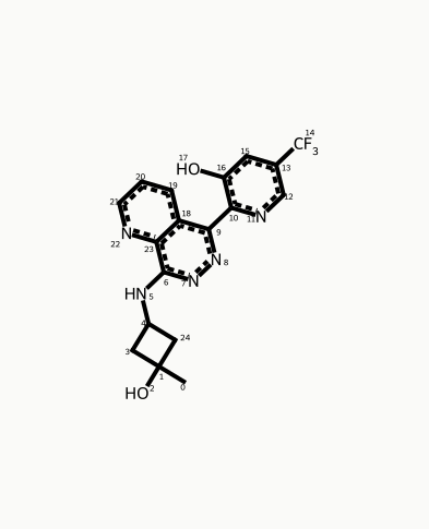 CC1(O)CC(Nc2nnc(-c3ncc(C(F)(F)F)cc3O)c3cccnc23)C1